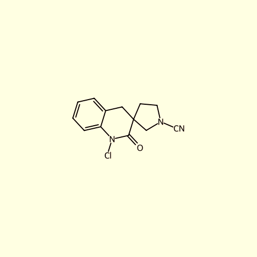 N#CN1CCC2(Cc3ccccc3N(Cl)C2=O)C1